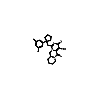 Cc1cc(C)cc(C2(Cc3nc(=O)c(O)c4n3CC3CCCCN3C4=O)CCCC2)c1